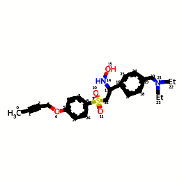 CC#CCOc1ccc(S(=O)(=O)CC(NO)c2ccc(CN(CC)CC)cc2)cc1